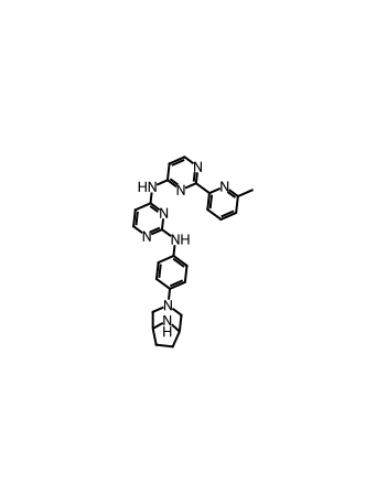 Cc1cccc(-c2nccc(Nc3ccnc(Nc4ccc(N5CC6CCC(C5)N6)cc4)n3)n2)n1